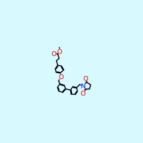 COC(=O)CCc1ccc(OCc2cccc(-c3cccc(CN4C(=O)CCC4=O)c3)c2)cc1